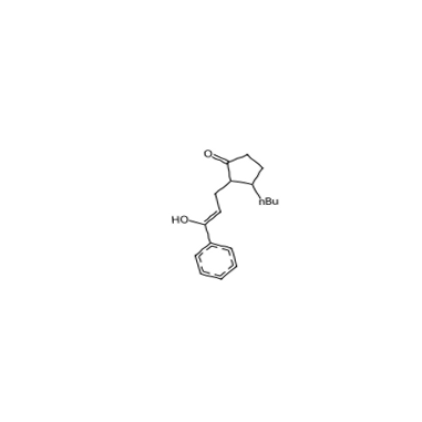 CCCCC1CCC(=O)C1CC=C(O)c1ccccc1